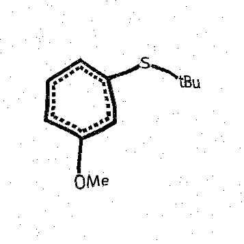 COc1cccc(SC(C)(C)C)c1